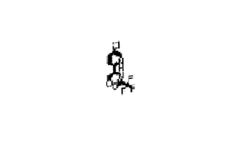 O=C(NC(CO)c1ccc(Cl)cn1)C(F)(F)F